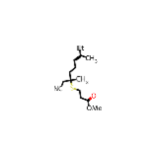 CC/C(C)=C/CCC(C)(CC#N)SCCC(=O)OC